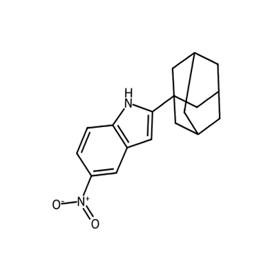 O=[N+]([O-])c1ccc2[nH]c(C34CC5CC(CC(C5)C3)C4)cc2c1